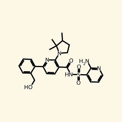 CC1CCN(c2nc(-c3ccccc3CO)ccc2C(=O)NS(=O)(=O)c2cccnc2N)C1(C)C